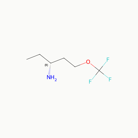 CC[C@@H](N)CCOC(F)(F)F